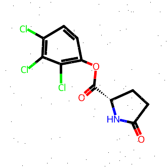 O=C1CC[C@@H](C(=O)Oc2ccc(Cl)c(Cl)c2Cl)N1